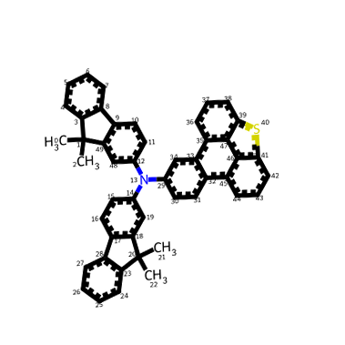 CC1(C)c2ccccc2-c2ccc(N(c3ccc4c(c3)C(C)(C)c3ccccc3-4)c3ccc4c(c3)c3cccc5sc6cccc4c6c53)cc21